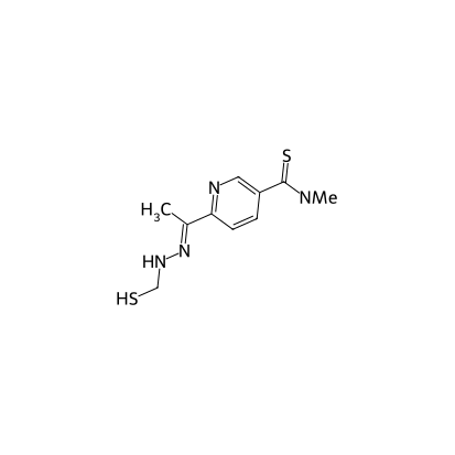 CNC(=S)c1ccc(C(C)=NNCS)nc1